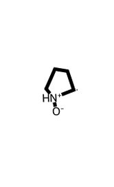 [O-][NH+]1[CH]CCC1